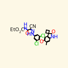 CCOC(=O)NC(=O)C(C#N)=NNc1cc(Cl)c(Oc2cc3c(cc2C)NC(=O)C32CCC2)c(Cl)c1